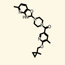 Cc1ccc2c(n1)NC(N1CCN(C(=O)c3cnc(OCC4(C)CC4)c(C)c3)CC1)O2